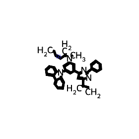 C=C/C=C\C(=C)N(C)c1cc(-c2cc(C(=C)C=C)nc(-c3ccccc3)n2)cc(-n2c3ccccc3c3ccccc32)c1